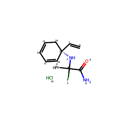 C=C[C@@]1(NC(F)(CCC)C(N)=O)C=CC=CC1.Cl